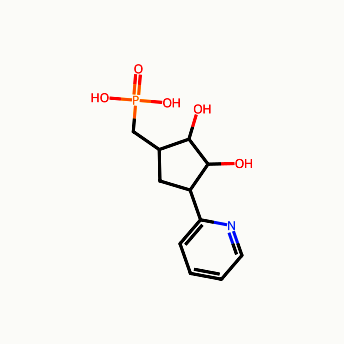 O=P(O)(O)CC1CC(c2ccccn2)C(O)C1O